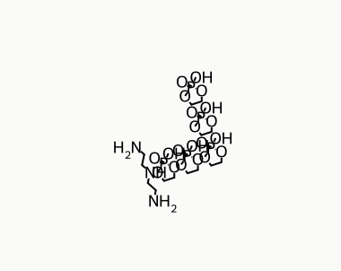 NCCNCCN.O=P1(O)OCCO1.O=P1(O)OCCO1.O=P1(O)OCCO1.O=P1(O)OCCO1.O=P1(O)OCCO1